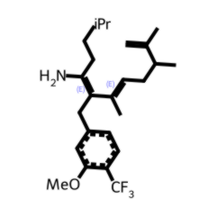 C=C(C)C(C)C/C=C(C)/C(Cc1ccc(C(F)(F)F)c(OC)c1)=C(/N)CCC(C)C